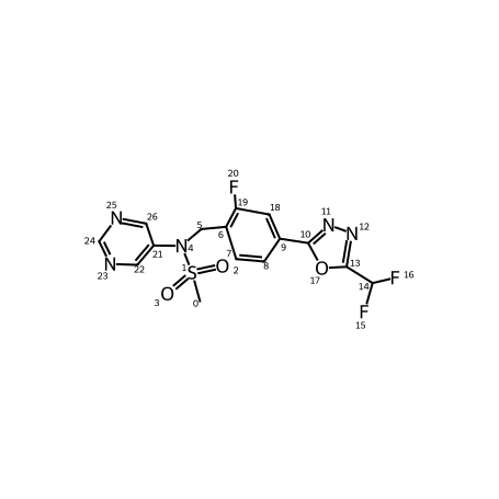 CS(=O)(=O)N(Cc1ccc(-c2nnc(C(F)F)o2)cc1F)c1cncnc1